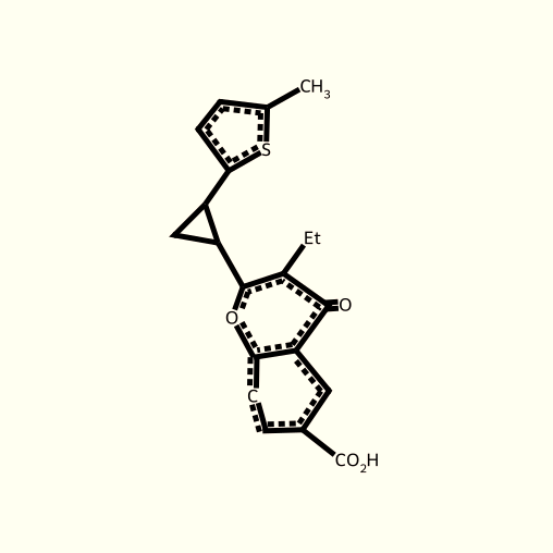 CCc1c(C2CC2c2ccc(C)s2)oc2ccc(C(=O)O)cc2c1=O